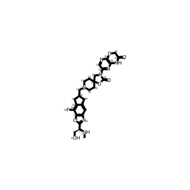 CN[C@@H](CO)c1nc2cc3c(c(F)c2o1)CC(CN1CCC2(CC1)CN(c1cnc4c(n1)NC(=O)CO4)C(=O)O2)C3